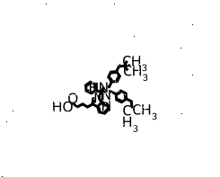 CC(C)Cc1ccc(CNC(NCc2ccc(CC(C)C)cc2)(c2ccccc2)n2cc(CCCC(=O)O)c3ccccc32)cc1